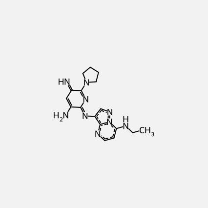 CCNc1ccnc2c(/N=C3\N=C(N4CCCC4)C(=N)C=C3N)cnn12